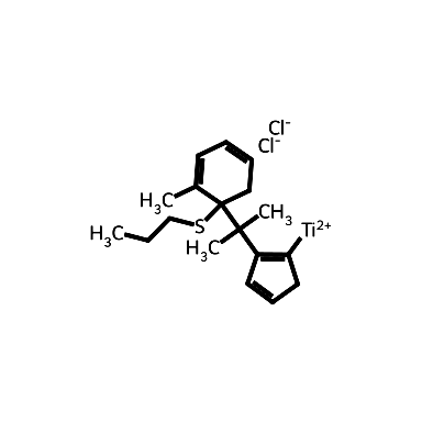 CCCSC1(C(C)(C)C2=[C]([Ti+2])CC=C2)CC=CC=C1C.[Cl-].[Cl-]